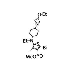 CCOC1CN(C2CCC(N(CC)c3sc(Br)c(C(=O)OC)c3C)CC2)C1